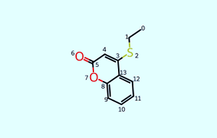 CCSc1cc(=O)oc2ccccc12